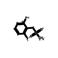 [CH2]S(=O)(=O)Cc1c(F)cccc1F